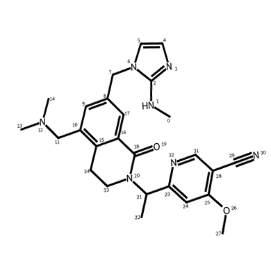 CNc1nccn1Cc1cc(CN(C)C)c2c(c1)C(=O)N(C(C)c1cc(OC)c(C#N)cn1)CC2